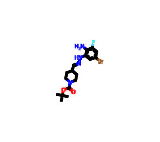 CC(C)(C)OC(=O)N1CCC(/C=N/Nc2cc(Br)cc(F)c2N)CC1